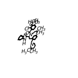 COc1ccc(C(=O)N(CCC(C)C)C(Cc2ccccc2CN2CCCC(C)(C)C2)c2nc3ccccc3[nH]2)c(Cl)c1OC